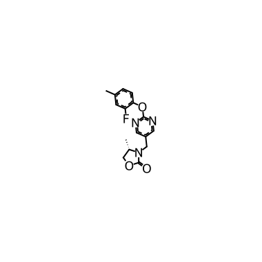 Cc1ccc(Oc2ncc(CN3C(=O)OC[C@@H]3C)cn2)c(F)c1